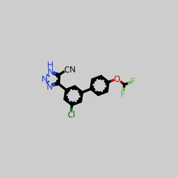 N#Cc1[nH]nnc1-c1cc(Cl)cc(-c2ccc(OC(F)F)cc2)c1